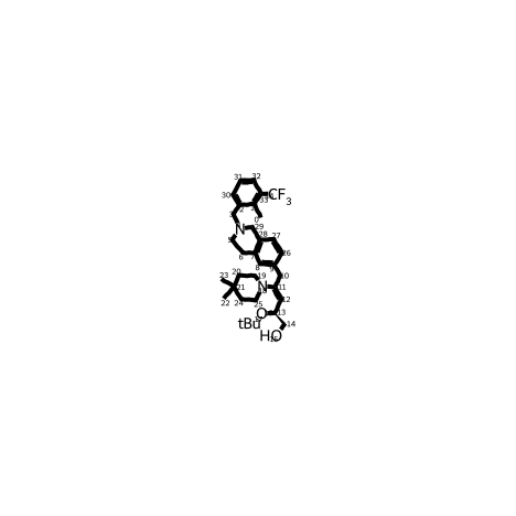 Cc1c(CN2CCc3cc(C/C(=C/[C@@H](CO)OC(C)(C)C)N4CCC(C)(C)CC4)ccc3C2)cccc1C(F)(F)F